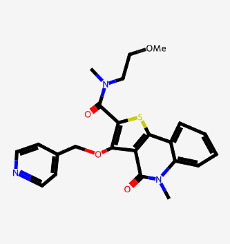 COCCN(C)C(=O)c1sc2c(c1OCc1ccncc1)c(=O)n(C)c1ccccc21